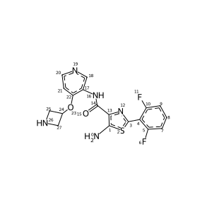 Nc1sc(-c2c(F)cccc2F)nc1C(=O)Nc1cnccc1OC1CNC1